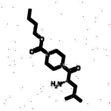 CCCCOC(=O)N1CCN(C(=O)[C@@H](N)CC(C)C)CC1